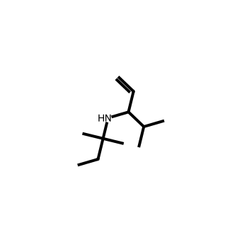 C=CC(NC(C)(C)CC)C(C)C